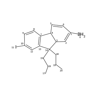 BC1=CC2C(C=C1)c1ccc(I)cc1C2(CCC)CCC